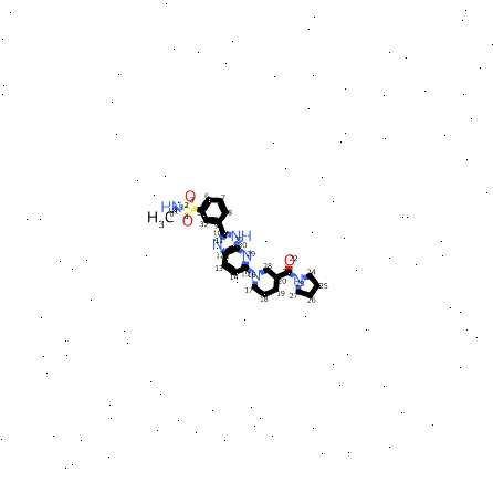 CNS(=O)(=O)c1cccc(-c2nc3ccc(N4CCCC(C(=O)N5CCCC5)C4)nc3[nH]2)c1